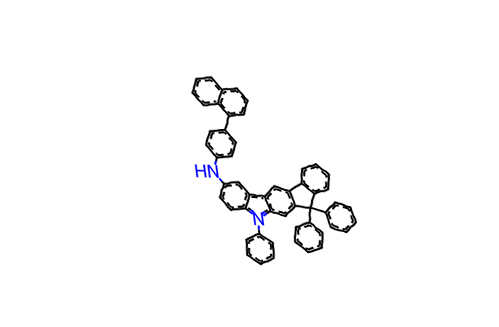 c1ccc(-n2c3ccc(Nc4ccc(-c5cccc6ccccc56)cc4)cc3c3cc4c(cc32)C(c2ccccc2)(c2ccccc2)c2ccccc2-4)cc1